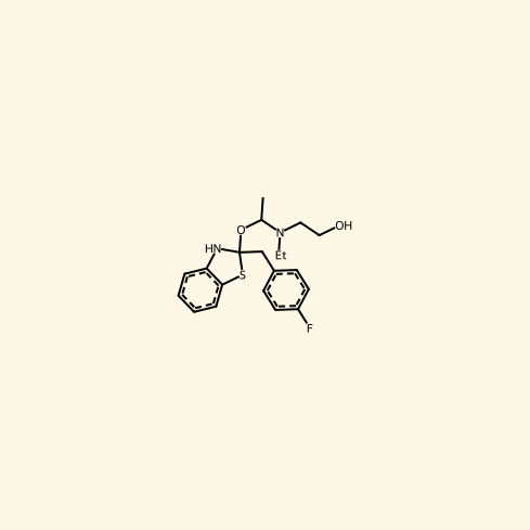 CCN(CCO)C(C)OC1(Cc2ccc(F)cc2)Nc2ccccc2S1